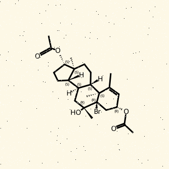 CC(=O)O[C@H]1CC[C@H]2[C@@H]3C[C@@](C)(O)[C@@]4(Br)C[C@@H](OC(C)=O)C=C(C)[C@]4(C)[C@H]3CC[C@]12C